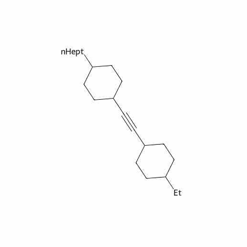 CCCCCCCC1CCC(C#CC2CCC(CC)CC2)CC1